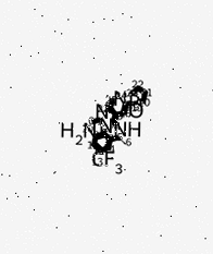 Cc1nc(N[C@H](C)c2cc(N)cc(C(F)(F)F)c2)c2cc(P3(=O)CCCC3)ncc2n1